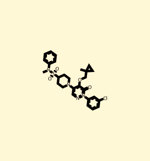 CN(c1ccccc1)S(=O)(=O)C1CCN(c2cnn(-c3cccc(Cl)c3)c(=O)c2OCC2(C)CC2)CC1